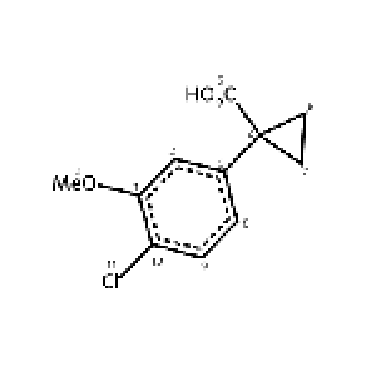 COc1cc(C2(C(=O)O)CC2)ccc1Cl